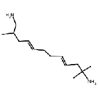 CC(CN)C/C=C/CC/C=C/CC(C)(C)N